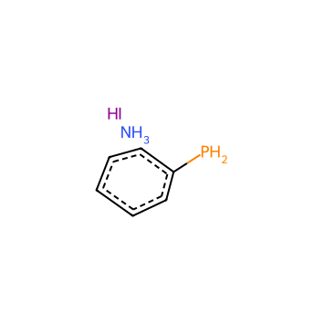 I.N.Pc1ccccc1